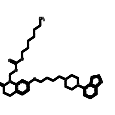 CCCCCCCOC(=O)OCN1C(=O)CCc2ccc(OCCCCN3CCN(c4cccc5sccc45)CC3)cc21